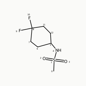 CS(=O)(=O)NC1CCC(F)(F)CC1